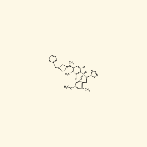 COc1ccc(CN(c2ncns2)S(=O)(=O)c2c(F)cc(N(C)[C@H]3CCN(Cc4ccccc4)C3)c(C)c2F)c(C)c1